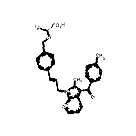 Cc1ccc(C(=O)c2c(C)n(C/C=C/c3ccc(CO[C@H](C)C(=O)O)cc3)c3ncccc23)cc1